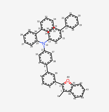 Cc1c(-c2cccc(-c3ccc(N(c4ccc(-c5ccccc5)cc4)c4ccccc4-c4ccccc4)cc3)c2)oc2ccccc12